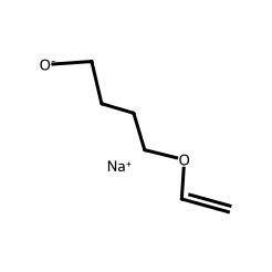 C=COCCCC[O-].[Na+]